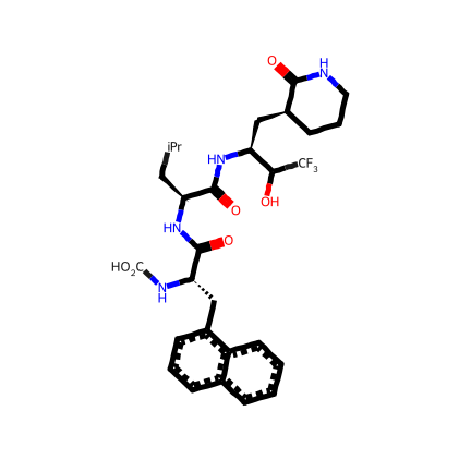 CC(C)C[C@H](NC(=O)[C@H](Cc1cccc2ccccc12)NC(=O)O)C(=O)N[C@@H](C[C@@H]1CCCNC1=O)C(O)C(F)(F)F